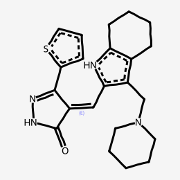 O=C1NN=C(c2cccs2)/C1=C\c1[nH]c2c(c1CN1CCCCC1)CCCC2